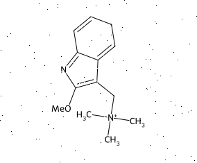 COC1=C(C[N+](C)(C)C)C2=CCC=CC2=N1